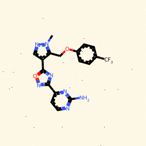 Cn1ncc(-c2nc(-c3ccnc(N)n3)no2)c1COc1ccc(C(F)(F)F)cc1